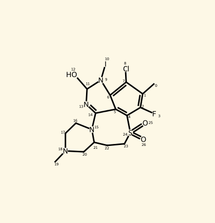 Cc1c(F)c2c3c(c1Cl)N(I)C(O)N=C3N1CCN(C)CC1CCS2(=O)=O